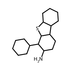 NC1CCC2C3CCCCC3SC2C1C1CCCCC1